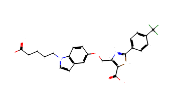 O=C(O)CCCCn1ccc2cc(OCc3nc(-c4ccc(C(F)(F)F)cc4)sc3C(=O)O)ccc21